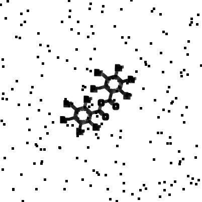 O=C(OC(=O)c1c(Br)c(Br)c(Br)c(Br)c1Br)c1c(Br)c(Br)c(Br)c(Br)c1Br